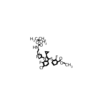 CCOC(=O)c1cccc(Sc2c(C3CC3)n(-c3cnn(CCNC(=O)OC(C)(C)C)c3)c3c(F)c(Cl)ccc23)c1F